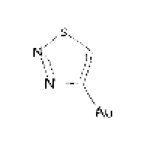 [Au][c]1csnn1